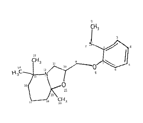 CSc1ccccc1OCC1CN2C(C)(C)CCCC2(C)O1